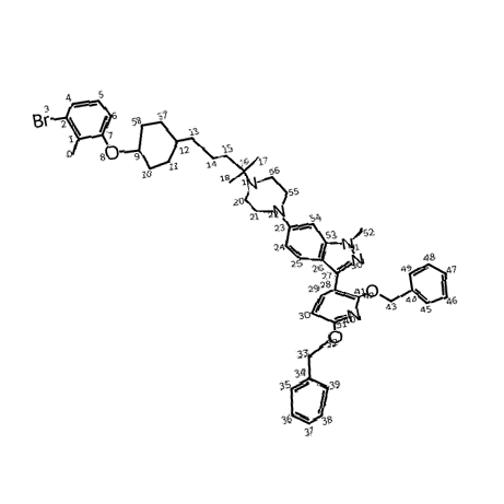 Cc1c(Br)cccc1OC1CCC(CCCC(C)(C)N2CCN(c3ccc4c(-c5ccc(OCc6ccccc6)nc5OCc5ccccc5)nn(C)c4c3)CC2)CC1